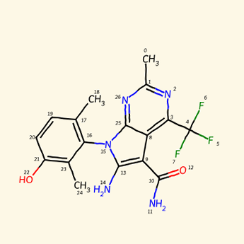 Cc1nc(C(F)(F)F)c2c(C(N)=O)c(N)n(-c3c(C)ccc(O)c3C)c2n1